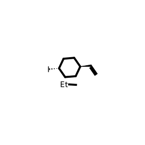 C=C[C@H]1CC[C@H](I)CC1.CCC